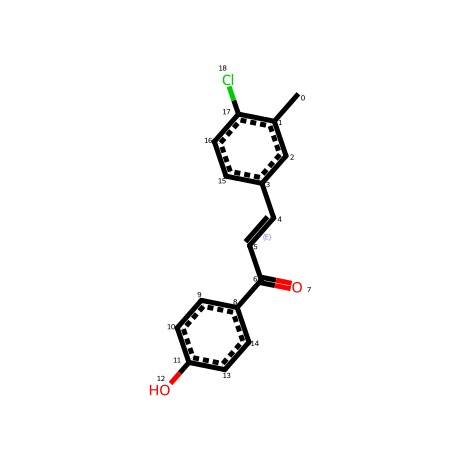 Cc1cc(/C=C/C(=O)c2ccc(O)cc2)ccc1Cl